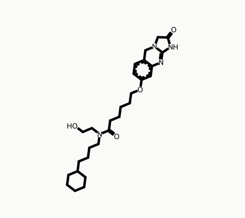 O=C1CN2Cc3ccc(OCCCCCC(=O)N(CCO)CCCCC4CCCCC4)cc3N=C2N1